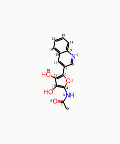 CC(=O)Nc1oc(-c2cnc3ccccc3c2)c(O)c1O